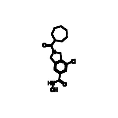 O=C(NO)c1cc(Cl)c2c(c1)CN(C(=O)C1CCCCCC1)C2